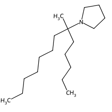 CCCCCCCC(C)(CCCCC)N1CCCC1